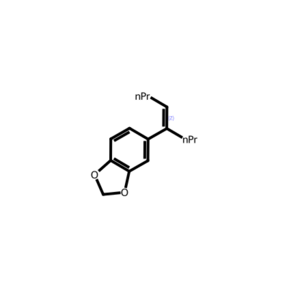 CCC/C=C(/CCC)c1ccc2c(c1)OCO2